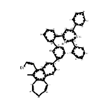 CC/C=C\c1c(C)c2c(c3ccc(-c4cccc(-c5ccccc5-c5cc(-c6ccccc6)nc(-c6ccccc6)n5)c4)cc13)C=CCC=C2